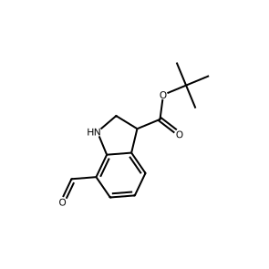 CC(C)(C)OC(=O)C1CNc2c(C=O)cccc21